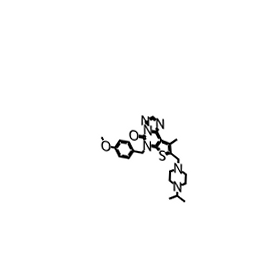 COc1ccc(Cn2c(=O)n3ncnc3c3c(C)c(CN4CCN(C(C)C)CC4)sc32)cc1